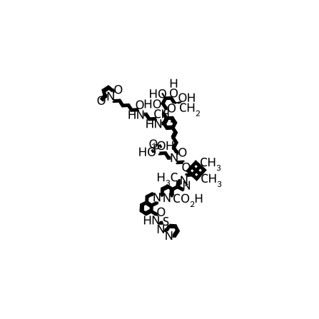 C=C(CCNC(=O)CCCCCN1C(=O)C=CC1=O)Nc1cc(/C=C/CCC(=O)N(CCCP(=O)(O)O)CCOC23CC4(C)CC5(C)CC(Cn6ncc(-c7ccc(N8CCc9cccc(C(=O)Nc%10nc%11ncccc%11s%10)c9C8)nc7C(=O)O)c6C)(C2)C543)ccc1C[C@@H]1O[C@H](C(=C)O)[C@@H](O)[C@H](O)[C@H]1O